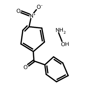 NO.O=C(c1ccccc1)c1ccc([N+](=O)[O-])cc1